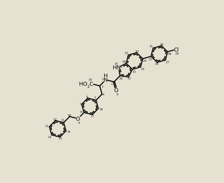 O=C(NC(Cc1ccc(OCc2ccccc2)cc1)C(=O)O)c1cc2cc(-c3ccc(Cl)cc3)ccc2[nH]1